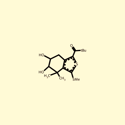 CSc1sc(C(=O)C(C)(C)C)c2c1C(C)(C)C(O)C(O)C2